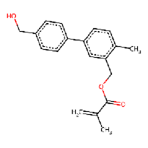 C=C(C)C(=O)OCc1cc(-c2ccc(CO)cc2)ccc1C